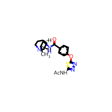 CC(=O)Nc1nnc(Oc2ccc(C(=O)N[C@@H]3C4CCN(CC4)[C@H]3C)cc2)s1